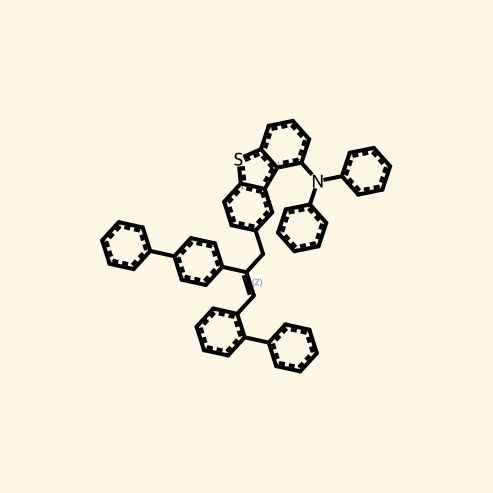 C(=C(\Cc1ccc2sc3cccc(N(c4ccccc4)c4ccccc4)c3c2c1)c1ccc(-c2ccccc2)cc1)/c1ccccc1-c1ccccc1